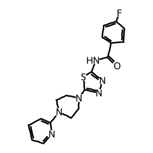 O=C(Nc1nnc(N2CCN(c3ccccn3)CC2)s1)c1ccc(F)cc1